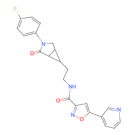 O=C(NCCC1C2CN(c3ccc(F)cc3)C(=O)C12)c1cc(-c2cccnc2)on1